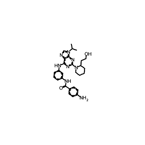 CC(C)n1cnc2c(Nc3cccc(NC(=O)c4ccc(N)cc4)c3)nc(N3CCCCC3CCO)nc21